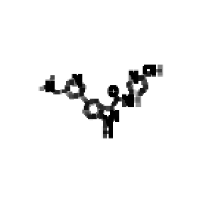 CN(C)Cc1cncc(-c2ccc3[nH]nc(C(=O)Nc4ccc(O)nc4)c3c2)c1